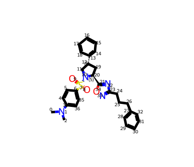 CN(C)c1ccc(S(=O)(=O)N2C[C@H](c3ccccc3)C[C@H]2c2nc(CCCc3ccccc3)no2)cc1